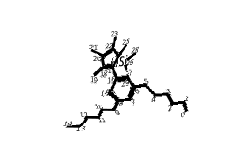 CCCCCCc1cc(CCCCCC)cc(C2=C(C)C(C)=C(C)C2(C)[SiH](C)C)c1